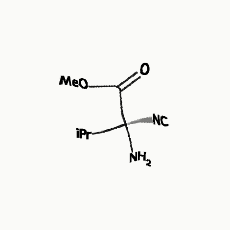 [C-]#[N+][C@@](N)(C(=O)OC)C(C)C